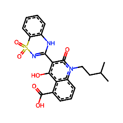 CC(C)CCn1c(=O)c(C2=NS(=O)(=O)c3ccccc3N2)c(O)c2c(C(=O)O)cccc21